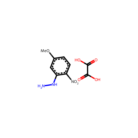 COc1ccc([N+](=O)[O-])c(NN)c1.O=C(O)C(=O)O